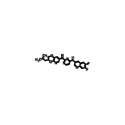 CN(C)CC1COc2cc(Nc3nccc(Nc4cnc5cc(F)c(F)cc5c4)n3)cnc2O1